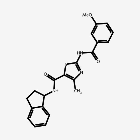 COc1cccc(C(=O)Nc2nc(C)c(C(=O)NC3CCc4ccccc43)s2)c1